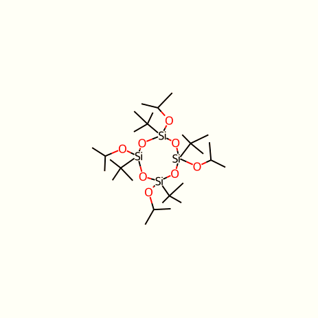 CC(C)O[Si]1(C(C)(C)C)O[Si](OC(C)C)(C(C)(C)C)O[Si](OC(C)C)(C(C)(C)C)O[Si](OC(C)C)(C(C)(C)C)O1